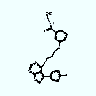 O=CNNC(=O)c1cccc(OCCCOc2ncnc3scc(-c4ccc(F)cc4)c23)c1